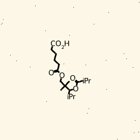 CC(C)C(=O)OC(C(C)C)C(C)(C)COC(=O)CCCCC(=O)O